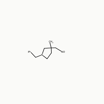 CC(C)CN1CCC(C)(CN=O)C1